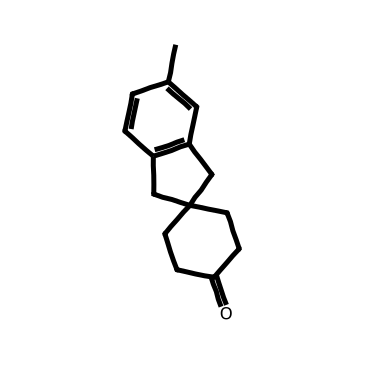 Cc1ccc2c(c1)CC1(CCC(=O)CC1)C2